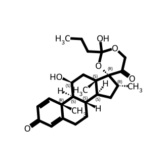 CCCC1(O)OCC(=O)[C@@]2(O1)[C@H](C)C[C@H]1[C@@H]3CCC4=CC(=O)C=C[C@]4(C)[C@H]3[C@@H](O)C[C@@]12C